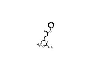 CCC(CCC(=O)Oc1ccccc1)OC(C)=O